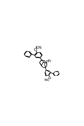 CCCC12CC3CC(c4ccc(OC#N)c(-c5ccccc5)c4)(C1)CC(c1ccc(OC#N)c(-c4ccccc4)c1)(C3)C2